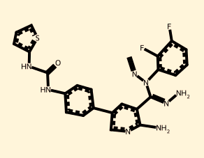 C=NN(/C(=N\N)c1cc(-c2ccc(NC(=O)Nc3cccs3)cc2)cnc1N)c1cccc(F)c1F